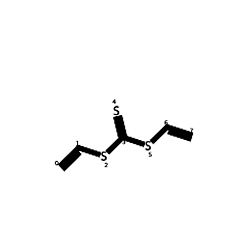 C=CSC(=S)SC=C